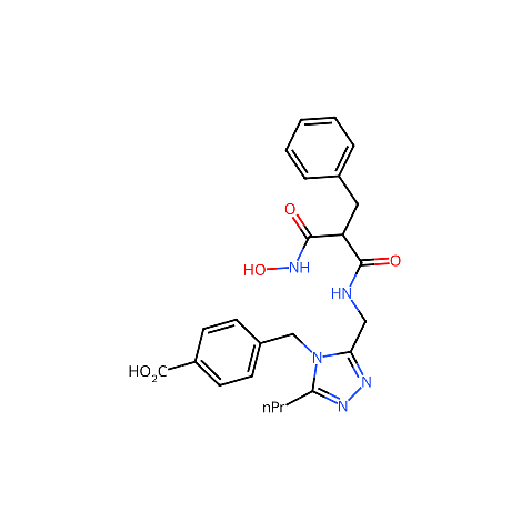 CCCc1nnc(CNC(=O)C(Cc2ccccc2)C(=O)NO)n1Cc1ccc(C(=O)O)cc1